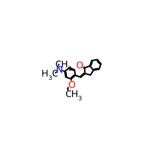 CCOc1cc(N(C)C)ccc1C=C1Cc2ccccc2C1=O